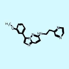 COc1cccc(-c2cnc3ccc(NCCc4cnccn4)nn23)c1